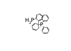 Pc1ccccc1C1(P(c2ccccc2)c2ccccc2)C=CC=CC1